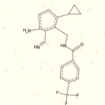 N=Cc1c(N)ccc(C2CC2)c1CNC(=O)c1ccc(C(F)(F)F)cc1